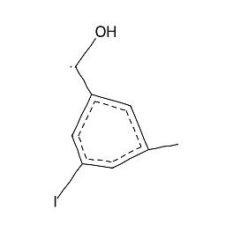 Cc1cc(I)cc([CH]O)c1